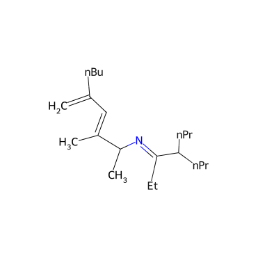 C=C(/C=C(\C)C(C)/N=C(\CC)C(CCC)CCC)CCCC